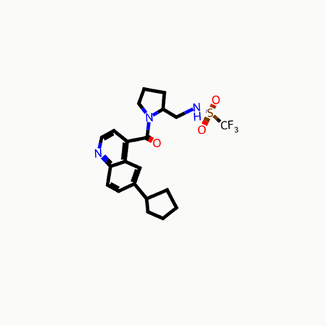 O=C(c1ccnc2ccc(C3CCCC3)cc12)N1CCCC1CNS(=O)(=O)C(F)(F)F